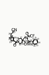 COCC1(CN(C(=O)C(F)(F)F)[C@@H]2C[C@H]2c2ccccc2)CCN(C(=O)c2cnn(CCC#N)c2)CC1